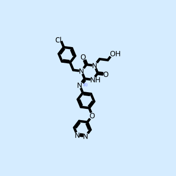 O=c1[nH]/c(=N\c2ccc(Oc3ccnnc3)cc2)n(Cc2ccc(Cl)cc2)c(=O)n1CCO